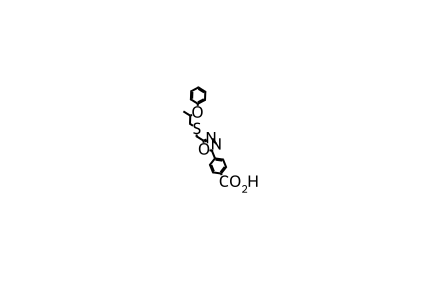 CC(CSCc1nnc(-c2ccc(C(=O)O)cc2)o1)Oc1ccccc1